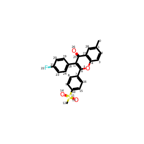 Cc1ccc2oc(-c3ccc(S(C)(=O)=O)cc3)c(-c3ccc(F)cc3)c(=O)c2c1